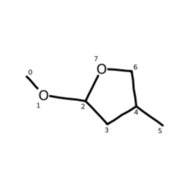 COC1CC(C)CO1